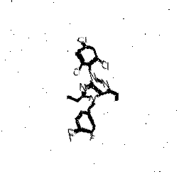 CCc1nn(-c2c(Cl)cc(Cl)cc2Cl)c2nc(CC)n(Cc3ccc(F)c(F)c3)c12